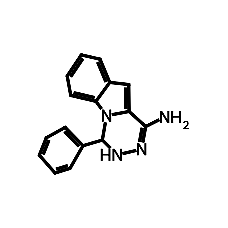 NC1=NNC(c2ccccc2)n2c1cc1ccccc12